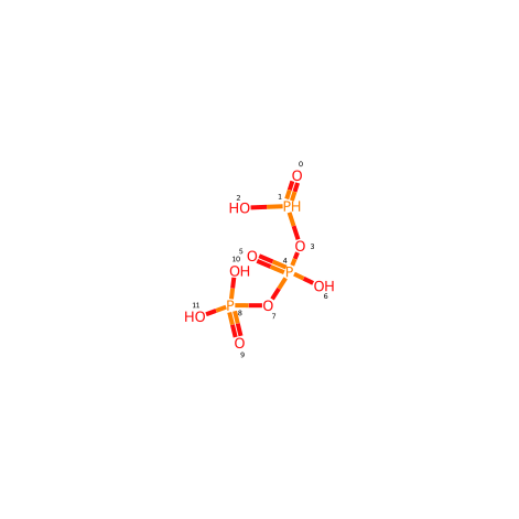 O=[PH](O)OP(=O)(O)OP(=O)(O)O